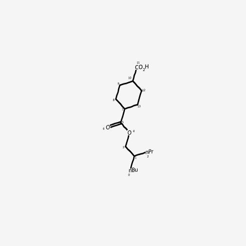 CCCCC(CCC)COC(=O)C1CCC(C(=O)O)CC1